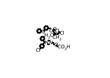 CC1(C)C(C=C(Cl)Cl)C1C(=O)OCc1cccc(Oc2ccccc2)c1.O=C(O)COCCN1CCN(C(c2ccccc2)c2ccc(Cl)cc2)CC1